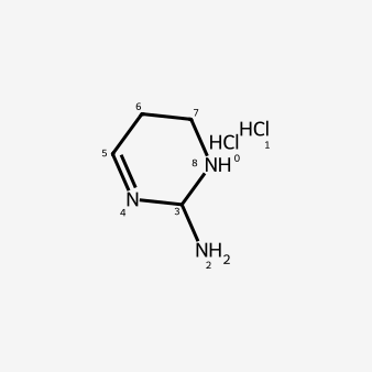 Cl.Cl.NC1N=CCCN1